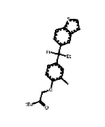 CCC(CC)(c1ccc(OCC(=O)C(C)(C)C)c(C)c1)c1ccc2sccc2c1